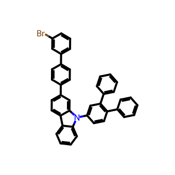 Brc1cccc(-c2ccc(-c3ccc4c5ccccc5n(-c5ccc(-c6ccccc6)c(-c6ccccc6)c5)c4c3)cc2)c1